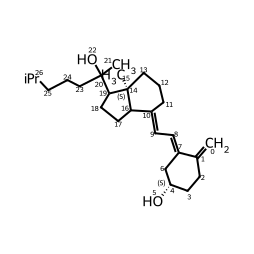 C=C1CC[C@H](O)CC1=CC=C1CCC[C@@]2(C)C1CCC2C(C)(O)CCCC(C)C